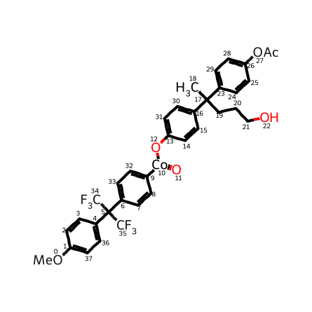 COc1ccc(C(c2cc[c]([Co](=[O])[O]c3ccc(C(C)(CCCO)c4ccc(OC(C)=O)cc4)cc3)cc2)(C(F)(F)F)C(F)(F)F)cc1